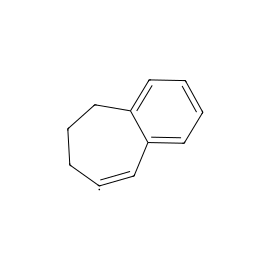 [C]1=Cc2ccccc2CCC1